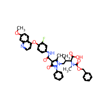 COc1ccc2c(Oc3ccc(NC(=O)c4c(C)n(C[C@@H](C)C(C(=O)O)N(C)C(=O)OCc5ccccc5)n(-c5ccccc5)c4=O)cc3F)ccnc2c1